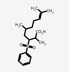 CC(C)=CCCC(C)CC(C(C)C(=O)O)S(=O)(=O)c1ccccc1